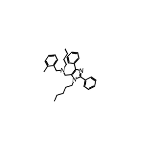 CCCCCn1c(-c2ccccc2)nc(-c2ccccc2)c1CN(CCCC)Cc1ccccc1C